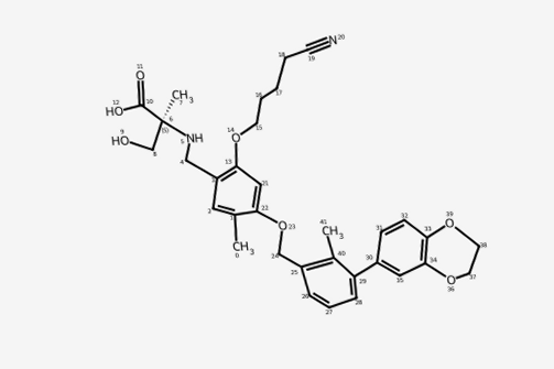 Cc1cc(CN[C@@](C)(CO)C(=O)O)c(OCCCCC#N)cc1OCc1cccc(-c2ccc3c(c2)OCCO3)c1C